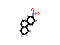 O=[N+]([O-])c1[c]c2ccc3ccccc3c2cc1